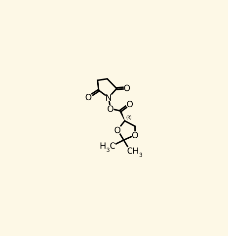 CC1(C)OC[C@H](C(=O)ON2C(=O)CCC2=O)O1